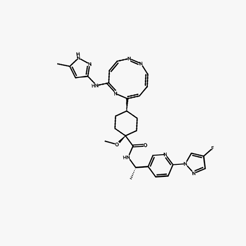 CO[C@]1(C(=O)N[C@@H](C)c2ccc(-n3cc(F)cn3)nc2)CC[C@H](c2cccnnccc(Nc3cc(C)[nH]n3)n2)CC1